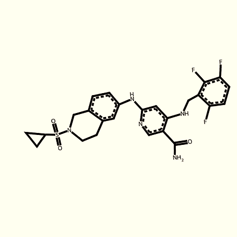 NC(=O)c1cnc(Nc2ccc3c(c2)CCN(S(=O)(=O)C2CC2)C3)cc1NCc1c(F)ccc(F)c1F